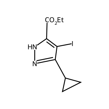 CCOC(=O)c1[nH]nc(C2CC2)c1I